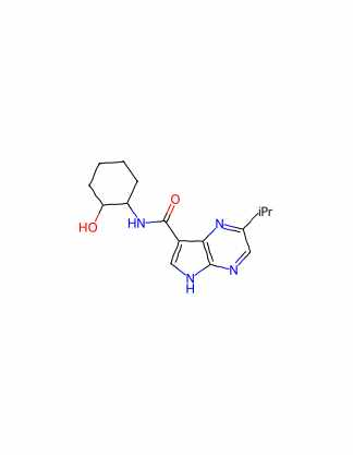 CC(C)c1cnc2[nH]cc(C(=O)NC3CCCCC3O)c2n1